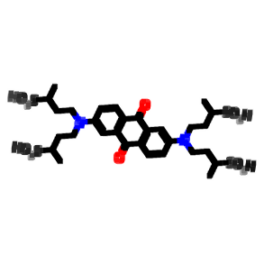 CC(CCN(CCC(C)S(=O)(=O)O)c1ccc2c(c1)C(=O)c1ccc(N(CCC(C)S(=O)(=O)O)CCC(C)S(=O)(=O)O)cc1C2=O)S(=O)(=O)O